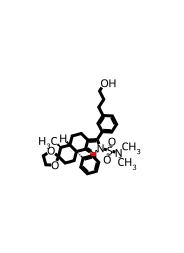 C[C@H]1[C@@H]2CCc3c(nn(S(=O)(=O)N(C)C)c3-c3cccc(CCCO)c3)[C@@]2(c2ccccc2)CCC12OCCO2